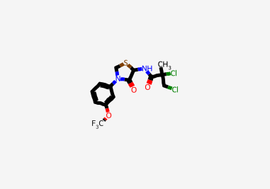 CC(Cl)(CCl)C(=O)NC1SCN(c2cccc(OC(F)(F)F)c2)C1=O